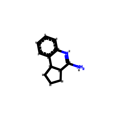 NC1=Nc2ccccc2C2CCCC12